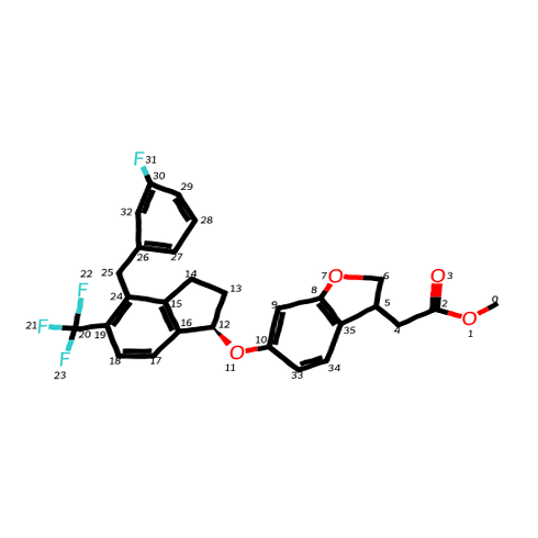 COC(=O)CC1COc2cc(O[C@@H]3CCc4c3ccc(C(F)(F)F)c4Cc3cccc(F)c3)ccc21